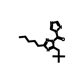 CCCCCc1nc(CC(C)(C)C)n(C(=O)n2cncn2)n1